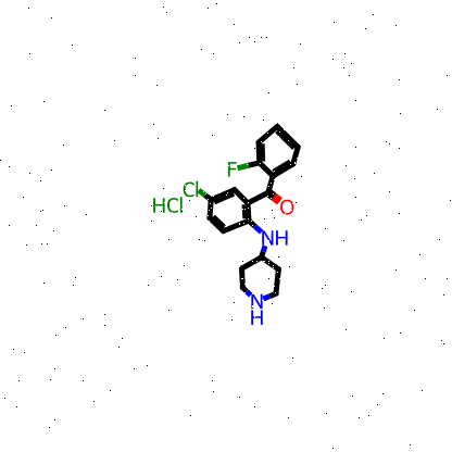 Cl.O=C(c1ccccc1F)c1cc(Cl)ccc1NC1CCNCC1